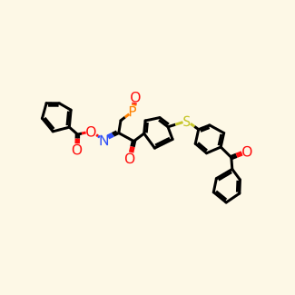 O=PC/C(=N\OC(=O)c1ccccc1)C(=O)c1ccc(Sc2ccc(C(=O)c3ccccc3)cc2)cc1